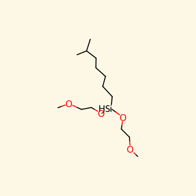 COCCO[SiH](CCCCCC(C)C)OCCOC